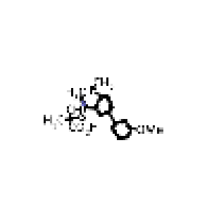 C=Nc1ccc(-c2cccc(OC)c2)cc1/C(=C\C)SC(C)(C)C(=O)O